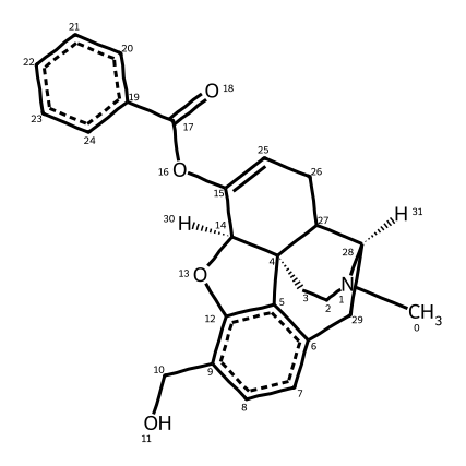 CN1CC[C@]23c4c5ccc(CO)c4O[C@H]2C(OC(=O)c2ccccc2)=CCC3[C@H]1C5